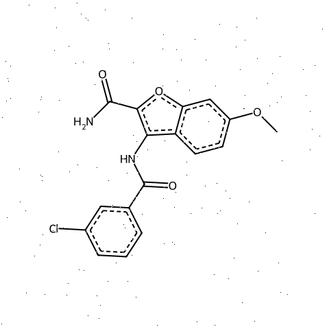 COc1ccc2c(NC(=O)c3cccc(Cl)c3)c(C(N)=O)oc2c1